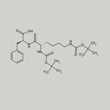 CC(C)(C)OC(=O)NCCCC[C@H](NC(=O)OC(C)(C)C)C(=O)N[C@@H](Cc1ccccc1)C(=O)O